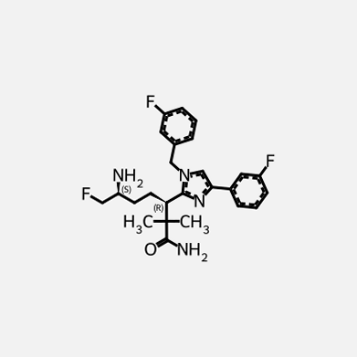 CC(C)(C(N)=O)[C@@H](CC[C@H](N)CF)c1nc(-c2cccc(F)c2)cn1Cc1cccc(F)c1